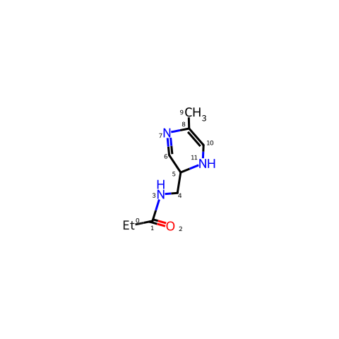 CCC(=O)NCC1C=NC(C)=CN1